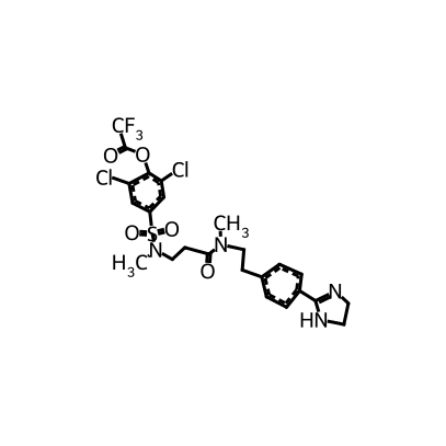 CN(CCc1ccc(C2=NCCN2)cc1)C(=O)CCN(C)S(=O)(=O)c1cc(Cl)c(OC(=O)C(F)(F)F)c(Cl)c1